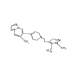 Cc1cc2ccnn2cc1C1CCN(CCc2cnn(C)c2C)CC1